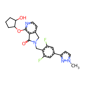 Cn1ccc(-c2cc(F)c(CN3Cc4ccnc(OC5CCCC5O)c4C3=O)c(F)c2)n1